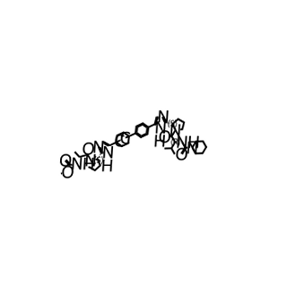 COC(=O)NC(C)C(=O)N1CCC[C@H]1c1ncc(C23CCC(c4ccc(-c5cnc([C@@H]6CCCN6C(=O)[C@H](NC(=O)N6CCCCC6)C(C)C)[nH]5)cc4)(CC2)CC3)[nH]1